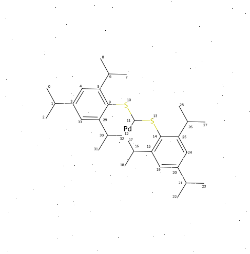 CC(C)c1cc(C(C)C)c(S[CH]([Pd])Sc2c(C(C)C)cc(C(C)C)cc2C(C)C)c(C(C)C)c1